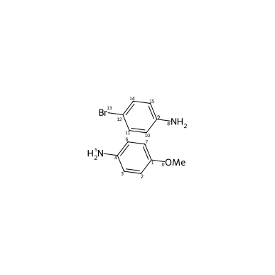 COc1ccc(N)cc1.Nc1ccc(Br)cc1